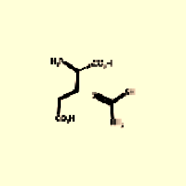 NC(=S)S.N[C@@H](CCC(=O)O)C(=O)O